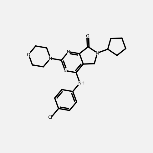 O=C1c2nc(N3CCOCC3)nc(Nc3ccc(Cl)cc3)c2CN1C1CCCC1